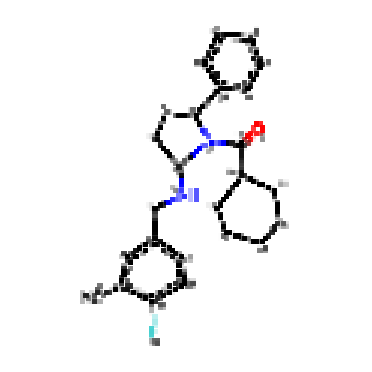 N#Cc1cc(CNC2CCC(c3ccccc3)N2C(=O)C2CCCCC2)ccc1F